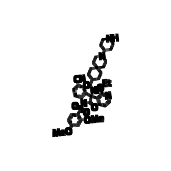 CCOc1ncccc1C1(NC(=O)C2CCC3(CC2)CCN(C2CCNCC2)CC3)C(=O)N(S(=O)(=O)c2ccc(OC)cc2OC)c2ccc(C#N)cc21